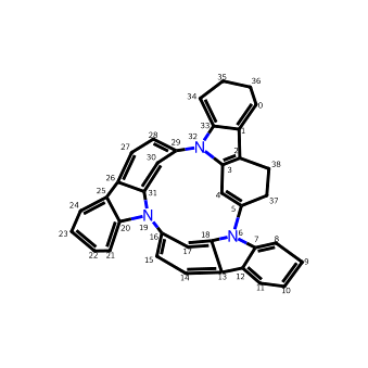 C1=c2c3c4cc(n5c6ccccc6c6ccc(cc65)n5c6ccccc6c6ccc(cc65)n4c2=CCC1)CC3